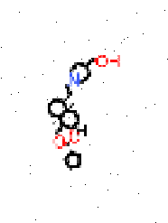 C[C@@]12CO[C@@H](C3CCCC3)O[C@@H]1CC[C@]1(C)C2CCC[C@H]1CCN1CCC(CO)CC1